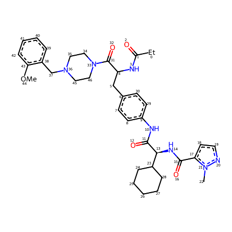 CCC(=O)NC(Cc1ccc(NC(=O)[C@@H](NC(=O)c2ccnn2C)C2CCCCC2)cc1)C(=O)N1CCN(Cc2ccccc2OC)CC1